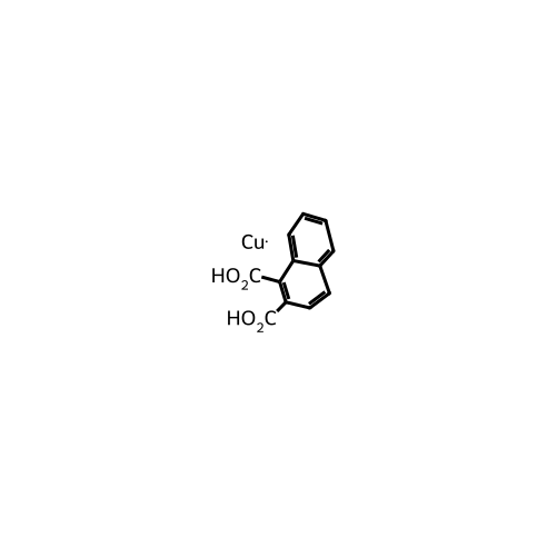 O=C(O)c1ccc2ccccc2c1C(=O)O.[Cu]